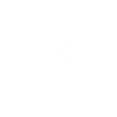 CSc1n[nH]c(-c2ccc(Cl)cc2)n1